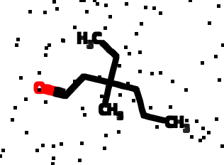 CCCC(C)(CC)CC=O